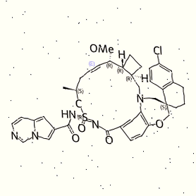 CO[C@H]1/C=C/C[C@H](C)C[S@@](=O)(NC(=O)c2cc3ccncn3c2)=NC(=O)c2ccc3c(c2)N(C[C@@H]2CC[C@H]21)C[C@@]1(CCCc2cc(Cl)ccc21)CO3